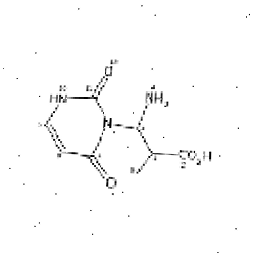 CC(C(=O)O)C(N)n1c(=O)cc[nH]c1=O